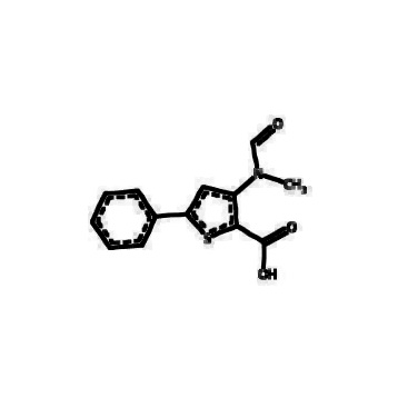 CN(C=O)c1cc(-c2ccccc2)sc1C(=O)O